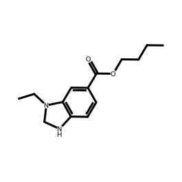 CCCCOC(=O)c1ccc2c(c1)N(CC)CN2